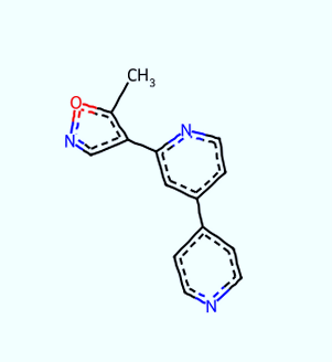 Cc1oncc1-c1cc(-c2ccncc2)ccn1